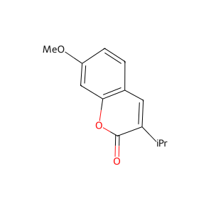 COc1ccc2cc(C(C)C)c(=O)oc2c1